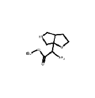 CC(C)(C)OC(=O)C(N)C12CNCC1CCO2